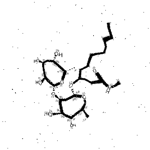 CCCCCCCC(CC(=O)NC)O[C@@H]1O[C@@H](C)[C@H](O)[C@@H](O)[C@H]1O[C@H]1O[C@@H](C)[C@@H](O)[C@H](O)[C@@H]1O